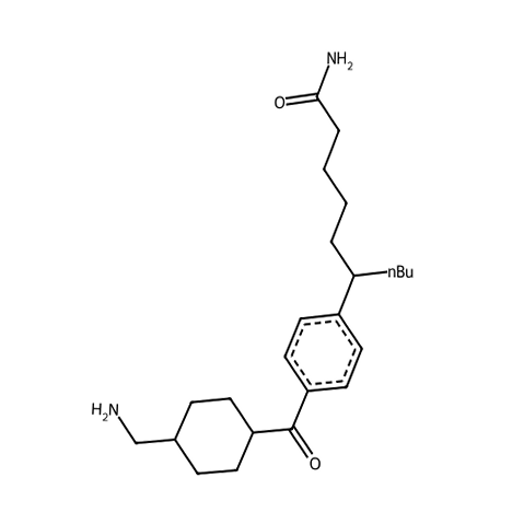 CCCCC(CCCCC(N)=O)c1ccc(C(=O)C2CCC(CN)CC2)cc1